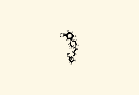 O=C1CCCN1CCCN1CCN(c2cccc(Cl)c2)CC1